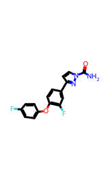 NC(=O)n1ccc(-c2ccc(Oc3ccc(F)cc3)c(F)c2)n1